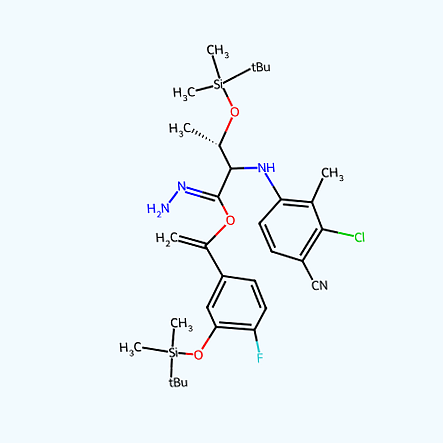 C=C(O/C(=N\N)C(Nc1ccc(C#N)c(Cl)c1C)[C@H](C)O[Si](C)(C)C(C)(C)C)c1ccc(F)c(O[Si](C)(C)C(C)(C)C)c1